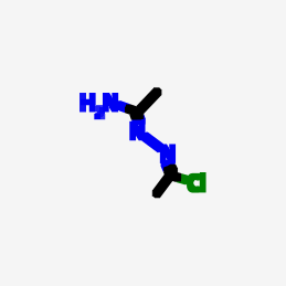 C/C(N)=N\N=C(/C)Cl